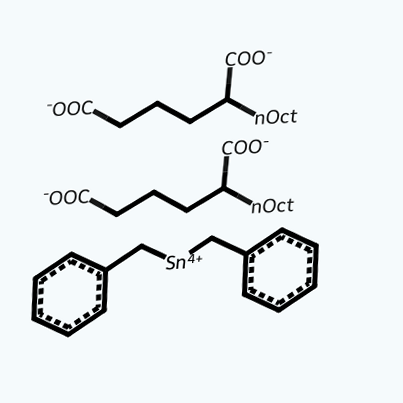 CCCCCCCCC(CCCC(=O)[O-])C(=O)[O-].CCCCCCCCC(CCCC(=O)[O-])C(=O)[O-].c1ccc([CH2][Sn+4][CH2]c2ccccc2)cc1